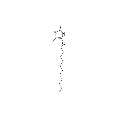 CCCCCCCCCCCOc1nc(C)sc1C